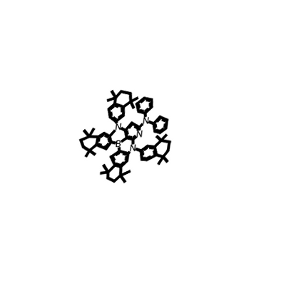 CC1(C)CCC(C)(C)c2cc(N3c4cc5c(cc4B4c6cc7c(cc6N(c6ccc8c(c6)C(C)(C)CCC8(C)C)c6nc(N(c8ccccc8)c8ccccc8)cc3c64)C(C)(C)CCC7(C)C)C(C)(C)CCC5(C)C)ccc21